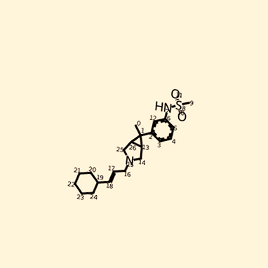 CC1(c2cccc(NS(C)(=O)=O)c2)C2CN(C/C=C/C3CCCCC3)CC21